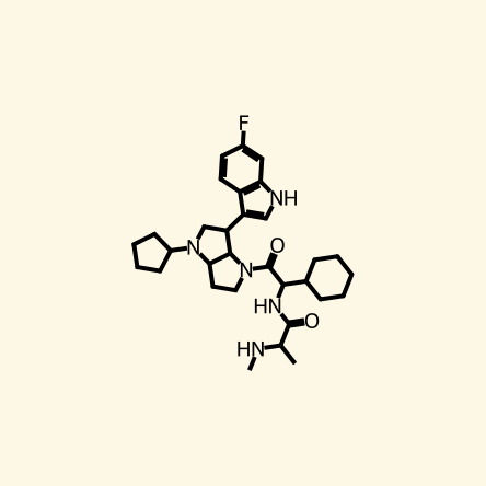 CNC(C)C(=O)NC(C(=O)N1CCC2C1C(c1c[nH]c3cc(F)ccc13)CN2C1CCCC1)C1CCCCC1